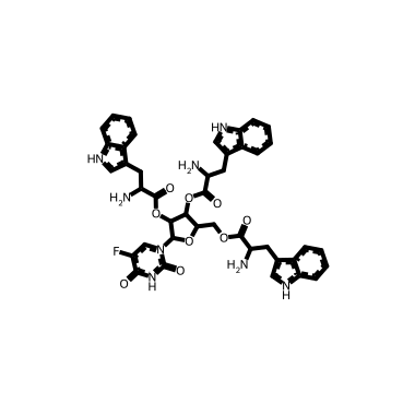 NC(Cc1c[nH]c2ccccc12)C(=O)OCC1OC(n2cc(F)c(=O)[nH]c2=O)C(OC(=O)C(N)Cc2c[nH]c3ccccc23)C1OC(=O)C(N)Cc1c[nH]c2ccccc12